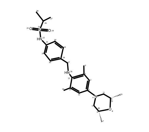 Cc1cc(N2C[C@@H](C)O[C@@H](C)C2)cc(C)c1NCc1ccc(NS(=O)(=O)C(C)C)cc1